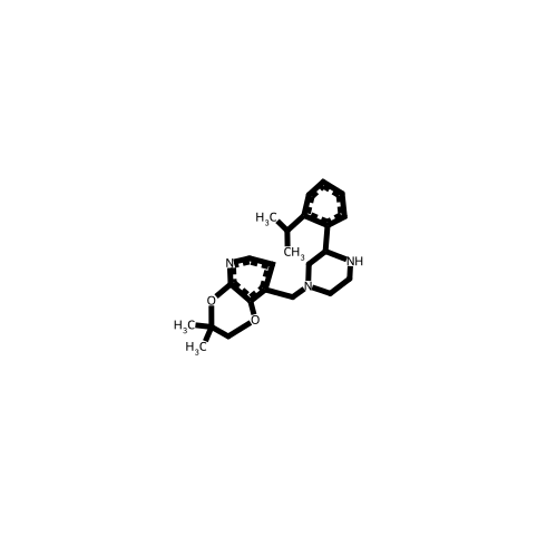 CC(C)c1ccccc1C1CN(Cc2ccnc3c2OCC(C)(C)O3)CCN1